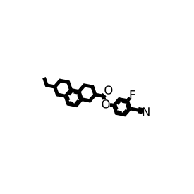 CCC1CCc2c(ccc3c2CCC(C(=O)Oc2ccc(C#N)c(F)c2)C3)C1